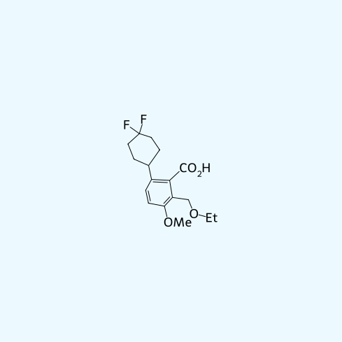 CCOCc1c(OC)ccc(C2CCC(F)(F)CC2)c1C(=O)O